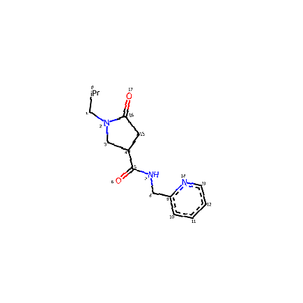 CC(C)CN1CC(C(=O)NCc2ccccn2)CC1=O